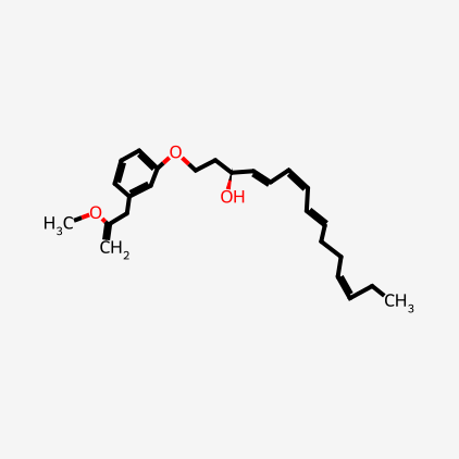 C=C(Cc1cccc(OCC[C@H](O)/C=C/C=C\C=C\CC/C=C\CC)c1)OC